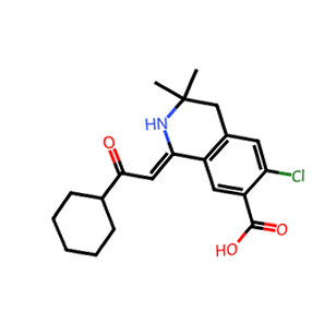 CC1(C)Cc2cc(Cl)c(C(=O)O)cc2C(=CC(=O)C2CCCCC2)N1